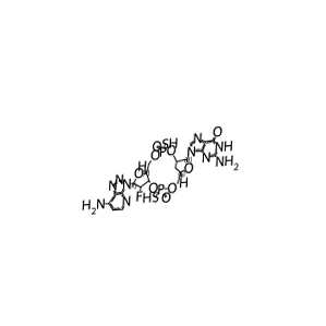 Nc1nc2c(ncn2[C@@H]2O[C@@H]3COP(=O)(S)OC4C(F)[C@H](n5nnc6c(N)ccnc65)O[C@@H]4COP(=O)(S)OC2C3)c(=O)[nH]1